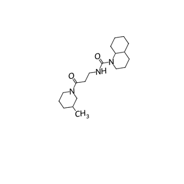 CC1CCCN(C(=O)CCNC(=O)N2CCCC3CCCCC32)C1